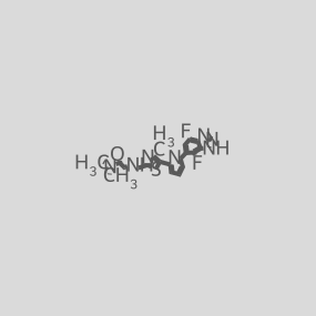 Cc1nc(CNCC(=O)N(C)C)sc1-c1cccc(-c2cc(F)c3nn[nH]c3c2F)n1